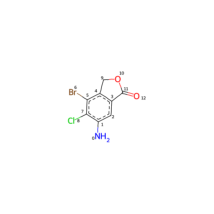 Nc1cc2c(c(Br)c1Cl)COC2=O